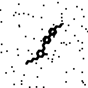 CCCCCC1CCC(CCc2ccc(-c3ccc(CCC)cc3)cc2)C(C)C1